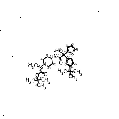 CN(C(=O)OC(C)(C)C)[C@H]1CC[C@H](OC(=O)C(O)(c2cccs2)c2ccc(C(C)(C)C)s2)CC1